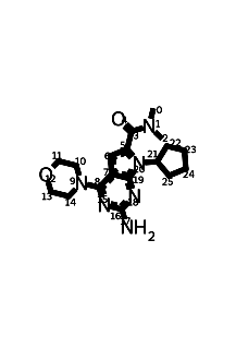 CN(C)C(=O)c1cc2c(N3CCOCC3)nc(N)nc2n1C1CCCC1